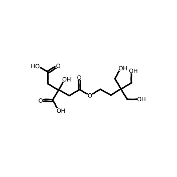 O=C(O)CC(O)(CC(=O)OCCC(CO)(CO)CO)C(=O)O